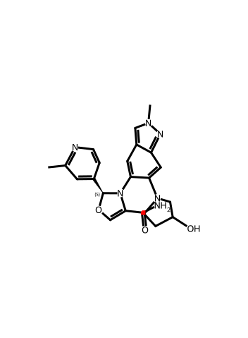 Cc1cc([C@@H]2OC=C(C(N)=O)N2c2cc3cn(C)nc3cc2N2CCC(O)C2)ccn1